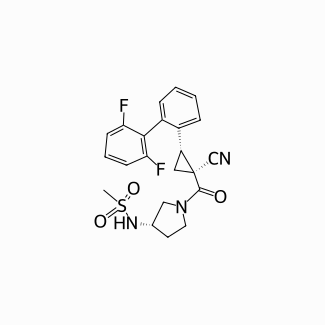 CS(=O)(=O)N[C@H]1CCN(C(=O)[C@@]2(C#N)C[C@@H]2c2ccccc2-c2c(F)cccc2F)C1